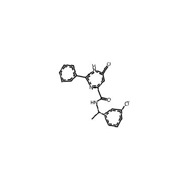 CC(NC(=O)c1cc(=O)[nH]c(-c2ccccc2)n1)c1cccc(Cl)c1